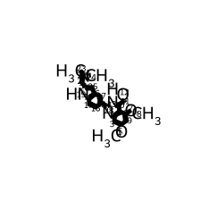 COc1cc2c(c(OC)c1)C(C=O)NC(c1ccc3[nH]c(CN(C)C)cc3c1)=N2